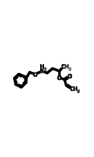 C=CC(=O)OC(C)CC[SiH2]OCc1ccccc1